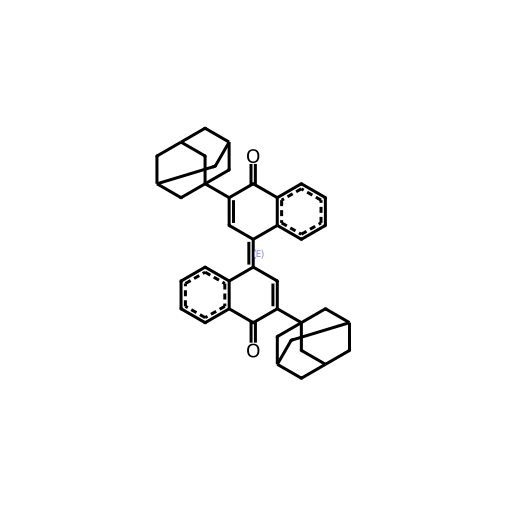 O=C1C(C23CC4CC(CC(C4)C2)C3)=C/C(=C2/C=C(C34CC5CC(CC(C5)C3)C4)C(=O)c3ccccc32)c2ccccc21